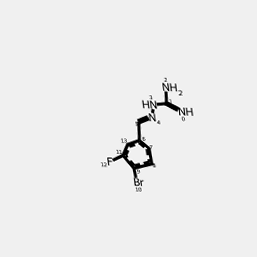 N=C(N)NN=Cc1ccc(Br)c(F)c1